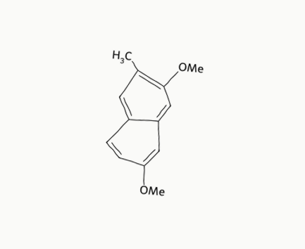 COc1ccc2cc(C)c(OC)cc2c1